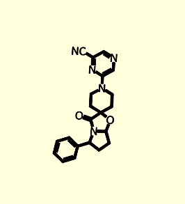 N#Cc1cncc(N2CCC3(CC2)OC2CCC(c4ccccc4)N2C3=O)n1